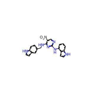 O=[N+]([O-])c1cnc(Nc2cccc3[nH]ccc23)nc1NCc1ccc2[nH]ccc2c1